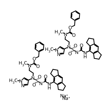 CN(CCN(c1cnn(C)c1)S(=O)(=O)[N-]C(=O)Nc1c2c(cc3c1CCC3)CCC2)C(=O)OCc1ccccc1.CN(CCN(c1cnn(C)c1)S(=O)(=O)[N-]C(=O)Nc1c2c(cc3c1CCC3)CCC2)C(=O)OCc1ccccc1.[Na+].[Na+]